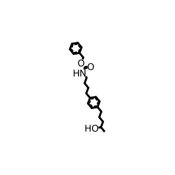 CC(O)CCCc1ccc(CCCCNC(=O)OCc2ccccc2)cc1